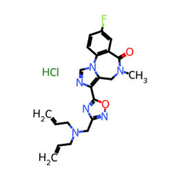 C=CCN(CC=C)Cc1noc(-c2ncn3c2CN(C)C(=O)c2cc(F)ccc2-3)n1.Cl